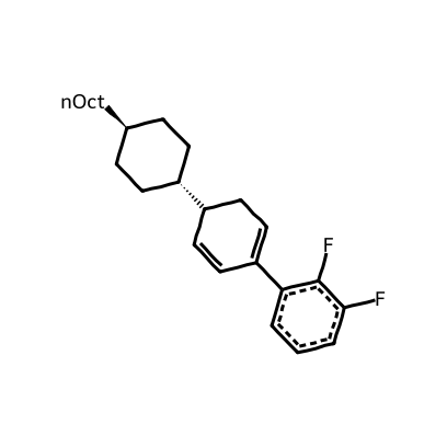 CCCCCCCC[C@H]1CC[C@H](C2C=CC(c3cccc(F)c3F)=CC2)CC1